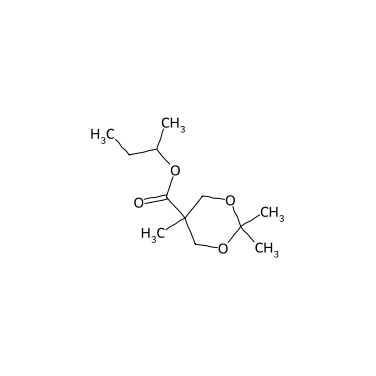 CCC(C)OC(=O)C1(C)COC(C)(C)OC1